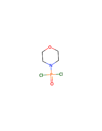 O=P(Cl)(Cl)N1CCOCC1